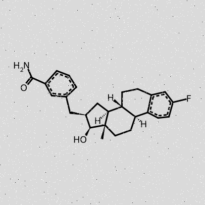 C[C@]12CC[C@@H]3c4ccc(F)cc4CC[C@H]3[C@@H]1C[C@H](Cc1cccc(C(N)=O)c1)[C@@H]2O